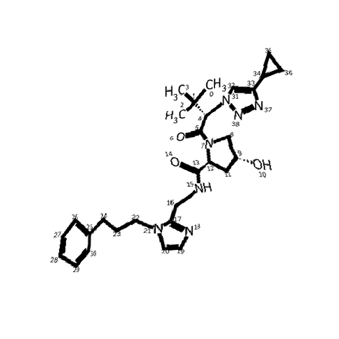 CC(C)(C)[C@@H](C(=O)N1C[C@H](O)C[C@H]1C(=O)NCc1nccn1CCCc1ccccc1)n1cc(C2CC2)nn1